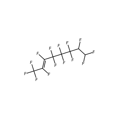 FC(=C(F)C(F)(F)C(F)(F)C(F)(F)C(F)C(F)F)C(F)(F)F